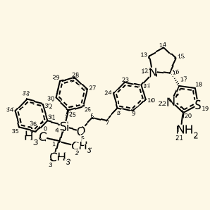 CC(C)(C)[Si](OCCc1ccc(N2CCC[C@@H]2c2csc(N)n2)cc1)(c1ccccc1)c1ccccc1